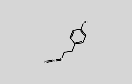 [N-]=[N+]=NCCc1ccc(O)cc1